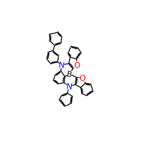 c1ccc(-c2cccc(N3c4cccc5c4B(c4oc6ccccc6c4N5c4ccccc4)c4oc5ccccc5c43)c2)cc1